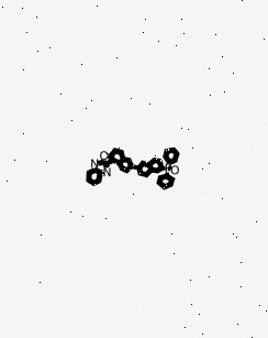 O=P(c1ccccc1)(c1ccccc1)c1ccc2cc(-c3ccc4c(ccc5oc6nc7ccccc7nc6c54)c3)ccc2c1